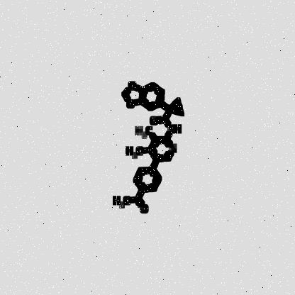 CC(=O)c1ccc(-c2cnc(NC(=O)C3(c4ccc5c(c4)OCO5)CC3)c(C)c2C)cc1